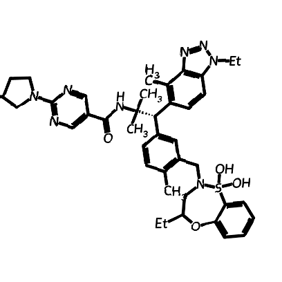 CCC1CN(Cc2cc([C@@H](c3ccc4c(nnn4CC)c3C)C(C)(C)NC(=O)c3cnc(N4CCCC4)nc3)ccc2C)S(O)(O)c2ccccc2O1